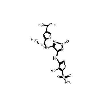 CC[C@@H](Nc1n[s+]([O-])nc1Nc1csc(S(N)(=O)=O)c1O)c1cc(C(C)C)co1